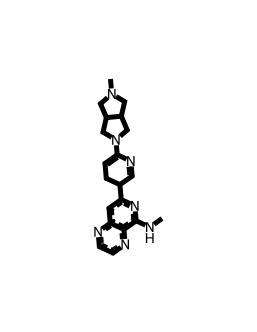 CNc1nc(C2C=NC(N3CC4CN(C)CC4C3)=CC2)cc2nccnc12